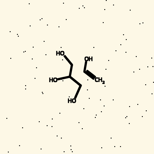 C=CO.OCC(O)CO